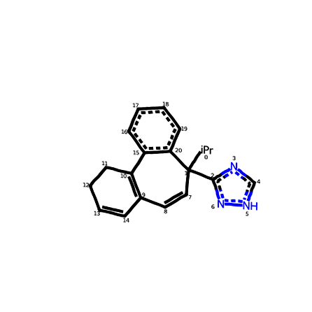 CC(C)C1(c2nc[nH]n2)C=CC2=C(CCC=C2)c2ccccc21